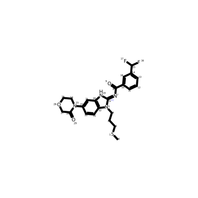 CSCCCn1/c(=N/C(=O)c2cccc(C(F)F)c2)[nH]c2cc(N3CCOCC3=O)ccc21